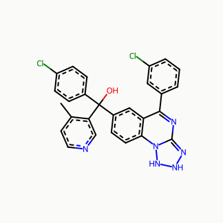 Cc1ccncc1C(O)(c1ccc(Cl)cc1)c1ccc2c(c1)C(c1cccc(Cl)c1)=NC1=NNNN12